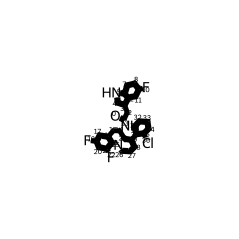 O=C(Cc1c[nH]c2ccc(F)cc12)NC(Cc1cc(F)cc(F)c1)c1ncccc1-c1ccccc1Cl